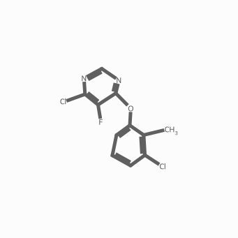 Cc1c(Cl)cccc1Oc1ncnc(Cl)c1F